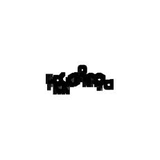 CC1CC(F)(F)c2ncnc(N3CCN(C(=O)C(N)Cc4ccc(Cl)cc4)CC3)c21